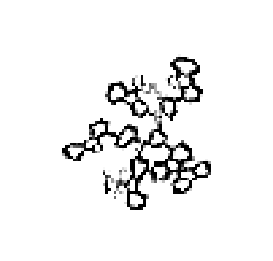 CC1(C)c2ccccc2-c2ccc(N(c3ccc(-c4cccc5c4oc4ccccc45)cc3)c3cc(-c4cccc5c4-c4ccccc4C54c5ccccc5-c5ccccc54)cc(N(c4ccc(-c5cccc6c5oc5ccccc56)cc4)c4ccc5c(c4)C(C)(C)c4ccccc4-5)c3)cc21